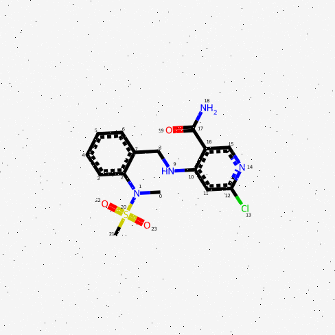 CN(c1ccccc1CNc1cc(Cl)ncc1C(N)=O)S(C)(=O)=O